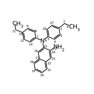 CCc1ccc(N(c2ccc(CC)cc2)c2cc3ccccc3cc2N)cc1